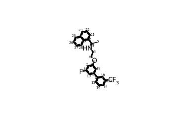 C[C@@H](NCCOc1cc(F)cc(-c2cccc(C(F)(F)F)c2)c1)c1cccc2ccccc12